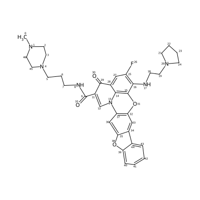 CN1CCN(CCCNC(=O)c2cn3c4c(c(NCCN5CCCC5)c(F)cc4c2=O)Oc2cc4c(cc2-3)oc2ccccc24)CC1